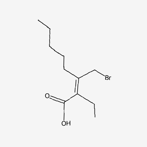 CCCCCC(CBr)=C(CC)C(=O)O